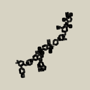 C[C@H]1CN([C@H]2CC[C@@H](CNc3ccc(S(=O)(=O)NC(=O)c4ccc(N5CCN(CC6=C(c7ccc(Cl)cc7)CC(C)(C)CC6)CC5)cc4Oc4cnc5[nH]ccc5c4)cc3[N+](=O)[O-])CC2)CCN1Cc1cc(Br)c2c(c1)C(=O)N(C1CCC(=O)NC1=O)C2